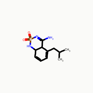 CC(C)CC1=CC=CC2NS(=O)(=O)N=C(N)C12